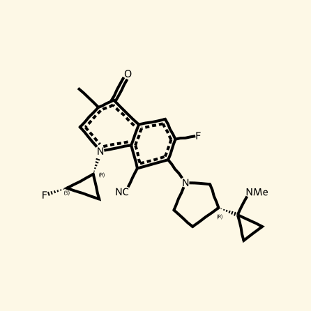 CNC1([C@@H]2CCN(c3c(F)cc4c(=O)c(C)cn([C@@H]5C[C@@H]5F)c4c3C#N)C2)CC1